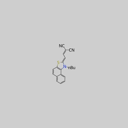 CCCCN1/C(=C/C=C(C#N)C#N)Sc2ccc3ccccc3c21